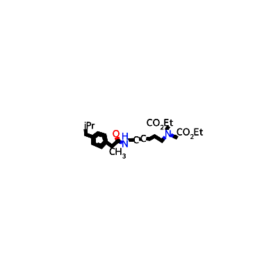 CCOC(=O)CN(CCCCCCNC(=O)[C@@H](C)c1ccc(CC(C)C)cc1)CC(=O)OCC